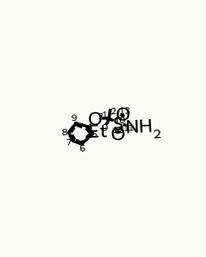 CCC(C)(Oc1ccccc1)S(N)(=O)=O